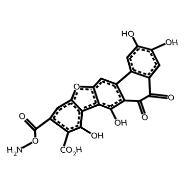 NOC(=O)c1cc2oc3cc4c(c(O)c3c2c(O)c1C(=O)O)C(=O)C(=O)c1cc(O)c(O)cc1-4